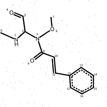 CNC([C]=O)N(OC)C(=O)C=Cc1ccccc1